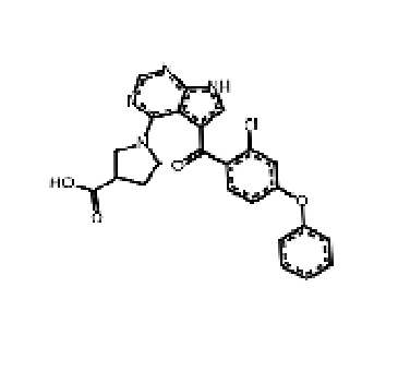 O=C(c1ccc(Oc2ccccc2)cc1Cl)c1c[nH]c2ncnc(N3CCC(C(=O)O)C3)c12